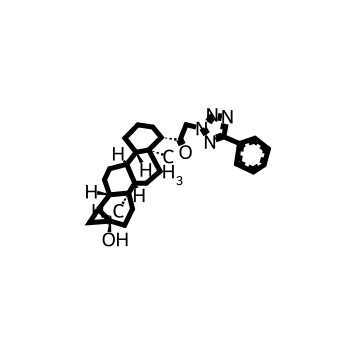 C[C@]12CC[C@]3(O)CC3[C@@H]1CC[C@@H]1[C@@H]2CC[C@]2(C)[C@@H](C(=O)Cn3nnc(-c4ccccc4)n3)CCC[C@@H]12